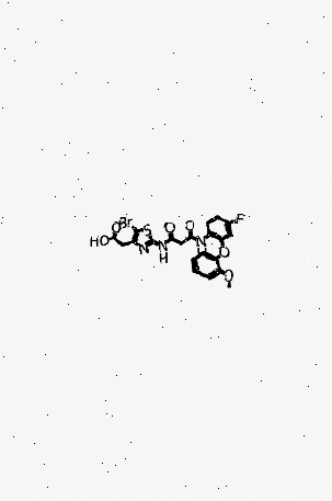 COc1ccccc1Oc1cc(F)ccc1NC(=O)CC(=O)Nc1nc(CC(=O)O)c(Br)s1